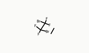 CC.FC(F)(Br)C(F)(F)Br